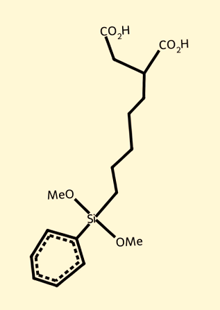 CO[Si](CCCCCC(CC(=O)O)C(=O)O)(OC)c1ccccc1